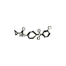 O=C(Nc1ccc(S(=O)(=O)c2cccc(Cl)c2)cc1)C1CC1